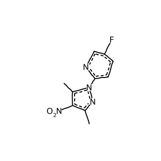 Cc1nn(-c2ccc(F)cn2)c(C)c1[N+](=O)[O-]